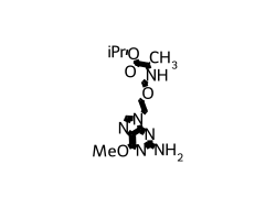 COc1nc(N)nc2c1ncn2CCOCN[C@@H](C)C(=O)OC(C)C